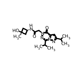 CC(C)c1cc2c(=O)n(CC(=O)N[C@H]3C[C@@](C)(O)C3)nc(C(C)C)n2n1